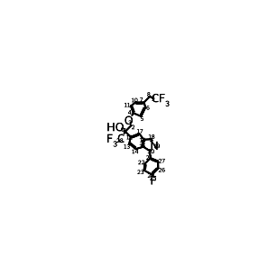 OC(COc1ccc(CC(F)(F)F)cc1)(c1ccc2c(c1)C=NC2c1ccc(F)cc1)C(F)(F)F